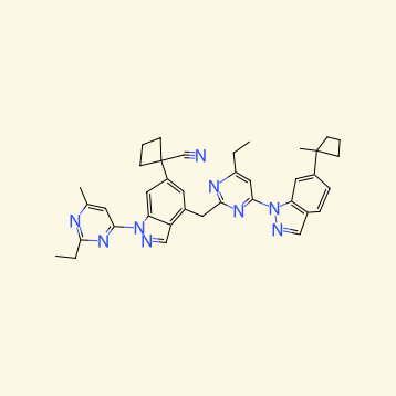 CCc1cc(-n2ncc3ccc(C4(C)CCC4)cc32)nc(Cc2cc(C3(C#N)CCC3)cc3c2cnn3-c2cc(C)nc(CC)n2)n1